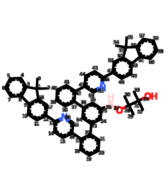 CC1(C)c2ccccc2-c2ccc(-c3ccc(-c4ccccc4-c4cc(BOC(C)(C)C(C)(C)O)cc(-c5ccccc5-c5ccc(-c6ccc7c(c6)C(C)(C)c6ccccc6-7)nc5)c4)cn3)cc21